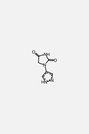 O=C1CN(c2cn[nH]c2)C(=O)N1